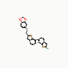 Fc1cc2ccc3c(c2s1)-c1ccc2cc(CCc4ccc5c(c4)OCO5)sc2c1-3